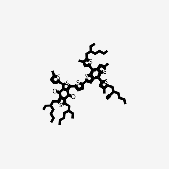 C#CC(CCCC)Cc1sc(-c2c3cc(-c4ccc(-c5sc(-c6ccc(C)s6)c6c5C(=O)c5c(CC(CC)CCCC)sc(CC(CC)CCCC)c5C6=O)s4)sc3c(-c3cc(C)c(CC(CC)CCCC)s3)c3cc(C)sc23)cc1C